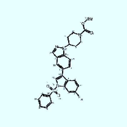 CC(C)(C)OC(=O)N1CCC(n2ncc3cc(-c4cn(S(=O)(=O)c5ccccc5)c5cc(F)ccc45)ccc32)CC1